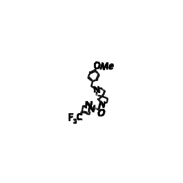 COc1ccc(CN2CCC3(CCN(C(=O)n4cc(C(F)(F)F)cn4)C3)C2)cc1